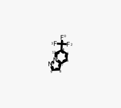 FC(F)(F)c1ccc2ccnn2c1